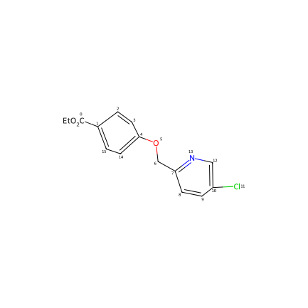 CCOC(=O)c1ccc(OCc2ccc(Cl)cn2)cc1